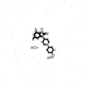 CCCO[C@H]1CC[C@H](N2CCC(n3c(=O)[nH]c4c(F)cc(C)cc43)CC2)CC1.Cl